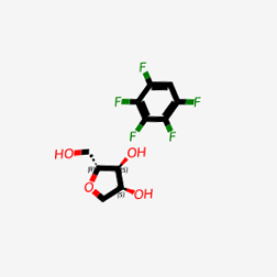 Fc1cc(F)c(F)c(F)c1F.OC[C@H]1OC[C@H](O)[C@@H]1O